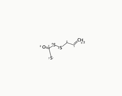 C=CCSSC(=O)[S]